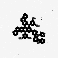 CC(C)(C)c1cc(N2c3cc4c(ccc5ccccc54)cc3B3c4cc5ccc6ccccc6c5cc4N(c4cc(C(C)(C)C)cc(C(C)(C)C)c4)c4cc(-c5ccc6c(c5)c5ccc7oc8ccccc8c7c5n6-c5ccccc5)cc2c43)cc(C(C)(C)C)c1